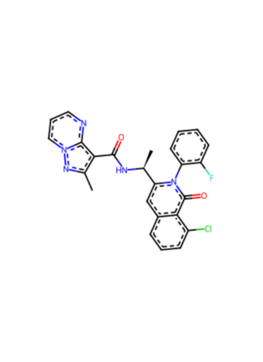 Cc1nn2cccnc2c1C(=O)N[C@@H](C)c1cc2cccc(Cl)c2c(=O)n1-c1ccccc1F